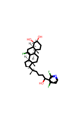 C[C@H](CCCC(O)c1c(F)ccnc1F)[C@H]1CC[C@H]2C3=C(F)C[C@H]4[C@@H](O)[C@@H](O)CC[C@]4(C)[C@H]3CC[C@]12C